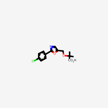 CC(C)(OCc1cnc(-c2ccc(Cl)cc2)o1)C(=O)O